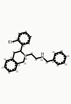 CCc1ccccc1C1Cc2ccccc2CN1CCNCc1ccccc1